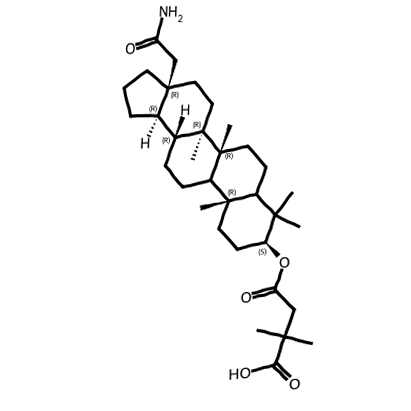 CC(C)(CC(=O)O[C@H]1CC[C@@]2(C)C(CC[C@]3(C)C2CC[C@@H]2[C@H]4CCC[C@]4(CC(N)=O)CC[C@]23C)C1(C)C)C(=O)O